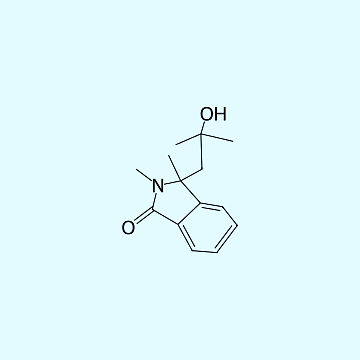 CN1C(=O)c2ccccc2C1(C)CC(C)(C)O